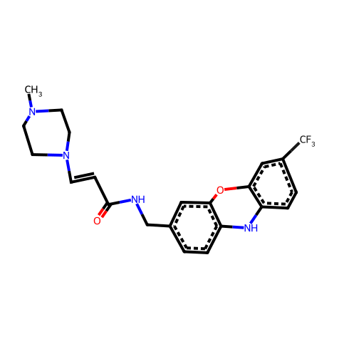 CN1CCN(C=CC(=O)NCc2ccc3c(c2)Oc2cc(C(F)(F)F)ccc2N3)CC1